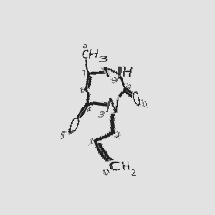 C=CCn1c(=O)cc(C)[nH]c1=O